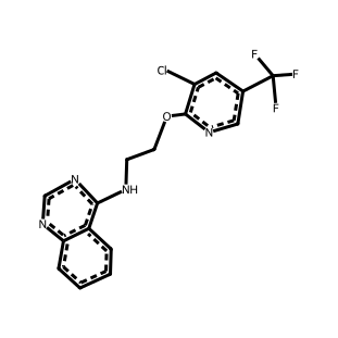 FC(F)(F)c1cnc(OCCNc2ncnc3ccccc23)c(Cl)c1